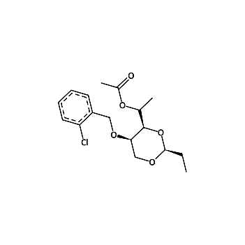 CC[C@H]1OC[C@@H](OCc2ccccc2Cl)[C@@H](C(C)OC(C)=O)O1